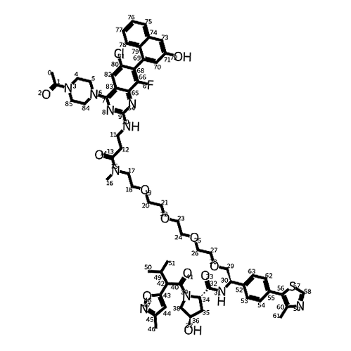 CC(=O)N1CCN(c2nc(NCCC(=O)N(C)CCOCCOCCOCCOC[C@H](NC(=O)[C@@H]3C[C@@H](O)CN3C(=O)C(c3cc(C)no3)C(C)C)c3ccc(-c4scnc4C)cc3)nc3c(F)c(-c4cc(O)cc5ccccc45)c(Cl)cc23)CC1